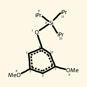 COc1cc(OC)cc(O[Si](C(C)C)(C(C)C)C(C)C)c1